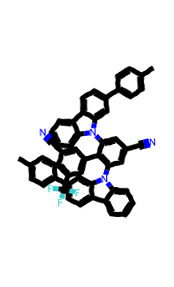 Cc1ccc(-c2ccc3c4ccccc4n(-c4cc(C#N)cc(-n5c6ccccc6c6ccc(-c7ccc(C)cc7)cc65)c4-c4cc(C#N)cc(C(F)(F)F)c4)c3c2)cc1